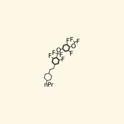 CCCC1CCC(CCc2cc(F)c(C(F)(F)Oc3cc(F)c(OC(F)F)c(F)c3)c(F)c2)CC1